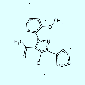 COc1ccccc1-n1nc(-c2ccccc2)c(O)c1C(C)=O